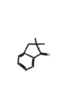 [CH2]C1(C)Cc2ccccc2C1=O